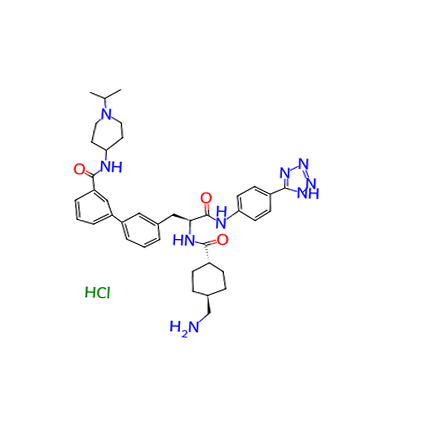 CC(C)N1CCC(NC(=O)c2cccc(-c3cccc(C[C@H](NC(=O)[C@H]4CC[C@H](CN)CC4)C(=O)Nc4ccc(-c5nnn[nH]5)cc4)c3)c2)CC1.Cl